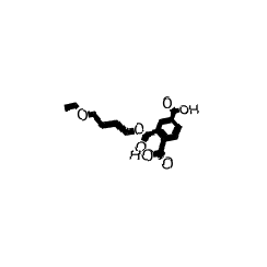 C=COCCCCOC(=O)c1cc(C(=O)O)ccc1C(=O)O